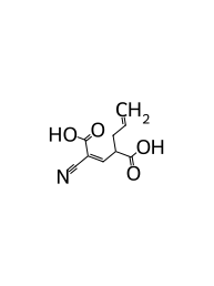 C=CCC(C=C(C#N)C(=O)O)C(=O)O